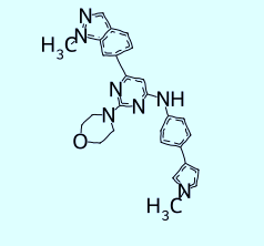 Cn1ccc(-c2ccc(Nc3cc(-c4ccc5cnn(C)c5c4)nc(N4CCOCC4)n3)cc2)c1